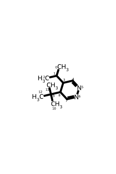 CC(C)C1C=NN=CC1C(C)(C)C